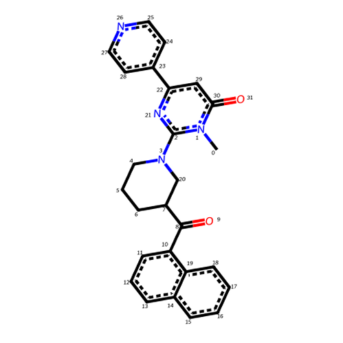 Cn1c(N2CCCC(C(=O)c3cccc4ccccc34)C2)nc(-c2ccncc2)cc1=O